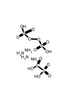 N.N.N.N.O=S(=O)(O)OOS(=O)(=O)O.O=S(O)S(=O)(=O)O